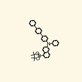 CC1(C)OB(c2cccc3cc(N(c4ccccc4)c4ccc(-c5ccc(-c6ccccc6)cc5)cc4)ccc23)OC1(C)C